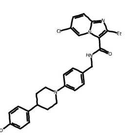 CCc1nc2ccc(Cl)cn2c1C(=O)NCc1ccc(N2CCC(c3ccc(OC)cc3)CC2)cc1